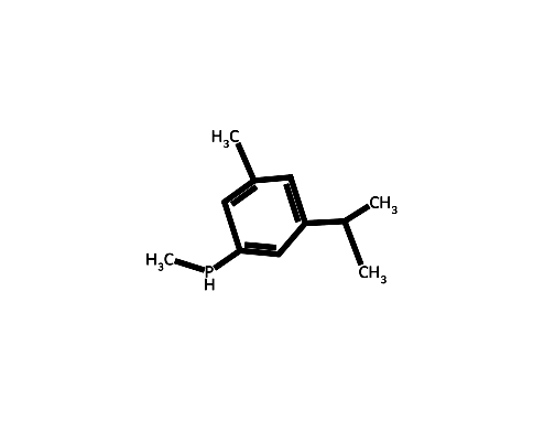 CPc1cc(C)cc(C(C)C)c1